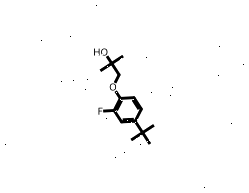 CC(C)(O)COc1ccc(C(C)(C)C)cc1F